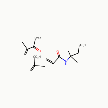 C=C(C)C(=O)O.C=C(C)C(=O)OC.C=CC(=O)NC(C)(C)CS(=O)(=O)O